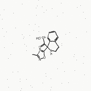 Cc1noc(C2(C(=O)O)NCCc3ccccc32)n1.Cl